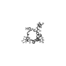 CC[Si](CC)(CC)OC1C(C)CCCC(O)CCC(C(C)=Cc2csc(C)n2)OC(=O)CC(O[Si](CC)(CC)CC)C(C)(C)C(=O)C1C